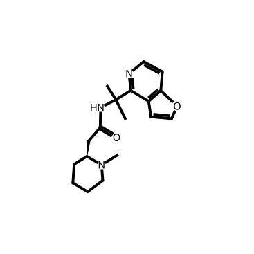 CN1CCCC[C@H]1CC(=O)NC(C)(C)c1nccc2occc12